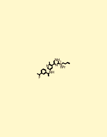 C=CCCN(CCC)/C(C)=N/C(=C\N)c1cc(NC(=C)c2cccc(C(C)F)c2)cnc1C